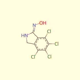 O/N=C1/NCc2c(Cl)c(Cl)c(Cl)c(Cl)c21